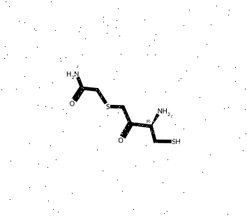 NC(=O)CSCC(=O)[C@@H](N)CS